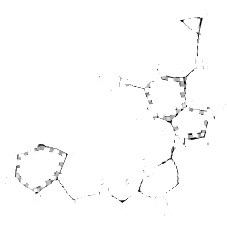 Nc1nc(NC2CC2)c2ncn(C3CO[C@@H](COCc4ccccc4)O3)c2n1